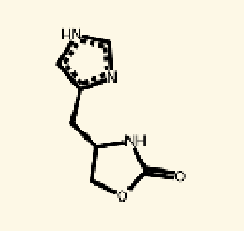 O=C1NC(Cc2c[nH]cn2)CO1